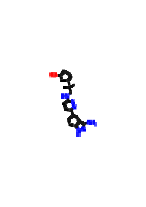 CC(C)(CNc1ccc(-c2ccc3[nH]nc(N)c3c2)nn1)c1cccc(O)c1